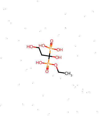 CCOP(=O)(O)C(O)(CCO)P(=O)(O)O